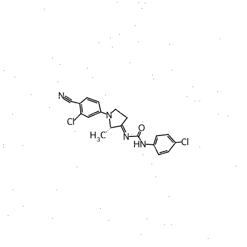 C[C@H]1/C(=N/C(=O)Nc2ccc(Cl)cc2)CCN1c1ccc(C#N)c(Cl)c1